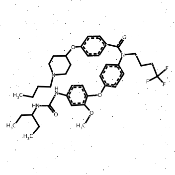 CCCCN1CCC(Oc2ccc(C(=O)N(CCCC(F)(F)F)c3ccc(Oc4ccc(NC(=O)NC(CC)CC)cc4OC)cc3)cc2)CC1